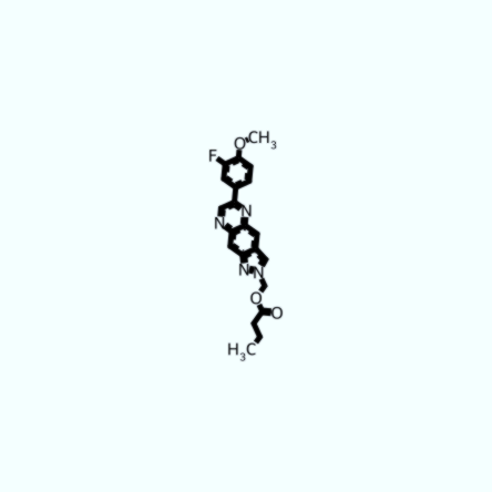 CCCC(=O)OCn1cc2cc3nc(-c4ccc(OC)c(F)c4)cnc3cc2n1